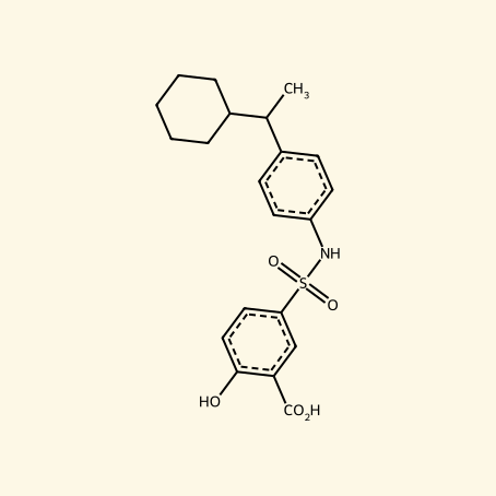 CC(c1ccc(NS(=O)(=O)c2ccc(O)c(C(=O)O)c2)cc1)C1CCCCC1